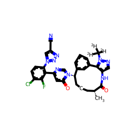 [2H]C([2H])([2H])n1ncc2c1-c1cccc(c1)[C@@H](n1cnc(-c3c(-n4cc(C#N)nn4)ccc(Cl)c3F)cc1=O)CCC[C@@H](C)C(=O)N2